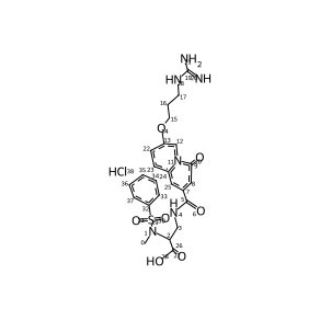 CN(C(CNC(=O)c1cc(=O)n2cc(OCCCNC(=N)N)ccc2c1)C(=O)O)S(=O)(=O)c1ccccc1.Cl